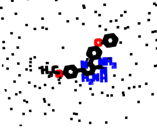 COc1ccc(-c2cc(N)c(C(=N)N)c(-c3ccc(Oc4ccccc4)cc3)n2)cc1